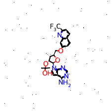 C[C@H]1[C@@H](OC(C)(C)O)[C@H](n2ccc3c(N)ncnc32)O[C@@H]1COc1ccc2ccc(C(F)(F)F)nc2c1